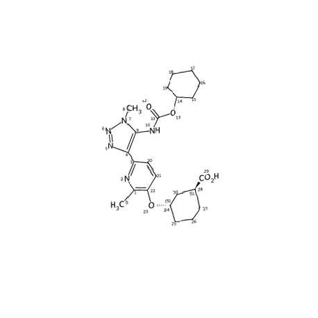 Cc1nc(-c2nnn(C)c2NC(=O)OC2CCCCC2)ccc1O[C@H]1CCC[C@H](C(=O)O)C1